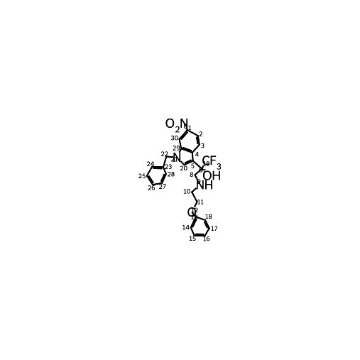 O=[N+]([O-])c1ccc2c(C(O)(CNCCOc3ccccc3)C(F)(F)F)cn(Cc3ccccc3)c2c1